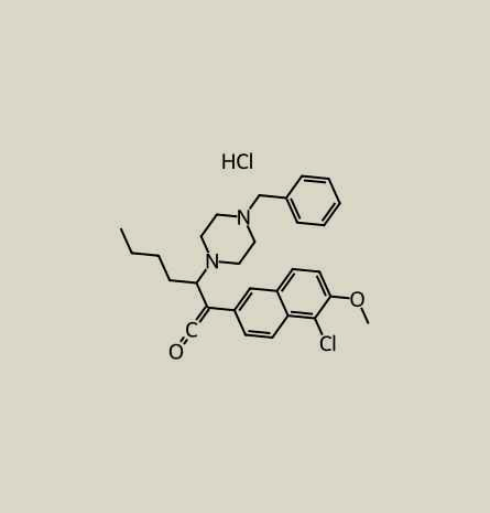 CCCCC(C(=C=O)c1ccc2c(Cl)c(OC)ccc2c1)N1CCN(Cc2ccccc2)CC1.Cl